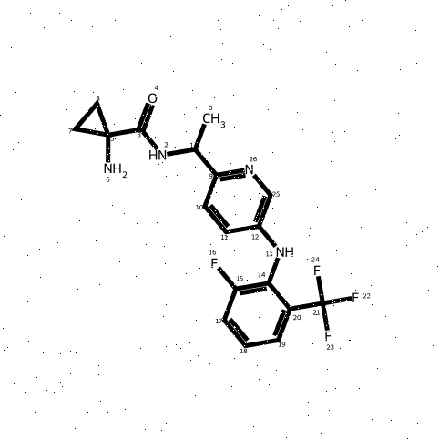 CC(NC(=O)C1(N)CC1)c1ccc(Nc2c(F)cccc2C(F)(F)F)cn1